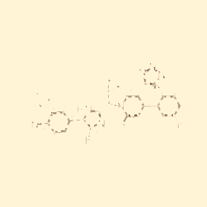 CS(=O)(=O)c1cc(-c2[nH]c(C3C4CC4c4cc(-c5cc(Cl)ccc5-n5cnnn5)cc(=O)n43)nc2F)ccc1N